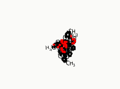 Cc1ccc2c(c1)P(=O)(C(O)C1=CC=CCC1OP1(Oc3ccccc3)=NP(Oc3ccccc3)(Oc3ccccc3C(O)P3(=O)c4cc(C)ccc4Oc4ccc(C)cc43)=NP(Oc3ccccc3)(Oc3ccccc3C(O)P3(=O)c4cc(C)ccc4Oc4ccc(C)cc43)=N1)c1cc(C)ccc1O2